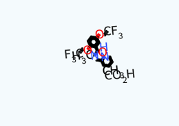 CC(=O)O.CN(CC1CCCCN1)C(=O)c1cc(OCC(F)(F)F)ccc1OCC(F)(F)F